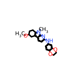 COC1CCc2c(c3ccc(Nc4ccc5c(c4)OCCO5)nc3n2C)C1